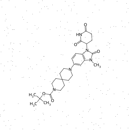 Cn1c(=O)n(C2CCC(=O)NC2=O)c2ccc(N3CCC4(CCN(C(=O)OC(C)(C)C)CC4)CC3)cc21